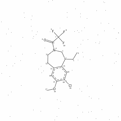 CCC1CN(C(=O)C(F)(F)F)CCc2cc(OC)c(Cl)cc21